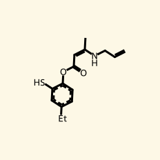 C=CCNC(C)=CC(=O)Oc1ccc(CC)cc1S